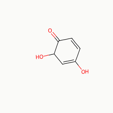 O=C1C=CC(O)=CC1O